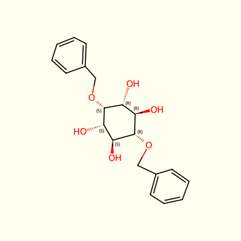 O[C@@H]1[C@@H](O)[C@H](OCc2ccccc2)[C@@H](O)[C@H](O)[C@@H]1OCc1ccccc1